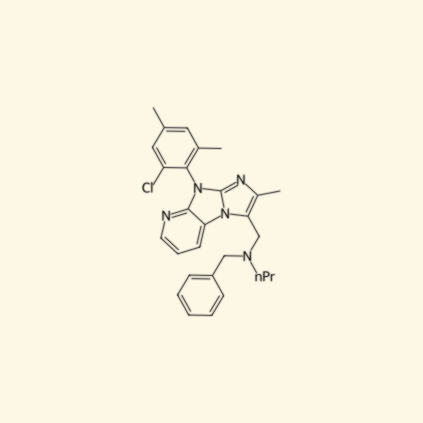 CCCN(Cc1ccccc1)Cc1c(C)nc2n(-c3c(C)cc(C)cc3Cl)c3ncccc3n12